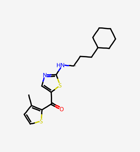 Cc1ccsc1C(=O)c1cnc(N[CH]CCC2CCCCC2)s1